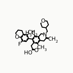 C=C1Cc2c(C)c(CC(=O)O)c(-c3cc(F)c4c(c3C)CCCO4)c(C)c2CN1CC1CCOCC1